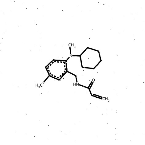 C=CC(=O)NCc1cc(C)ccc1N(C)C1CCCCC1